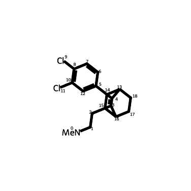 CNCCC1=C(c2ccc(Cl)c(Cl)c2)C2CCC1CC2